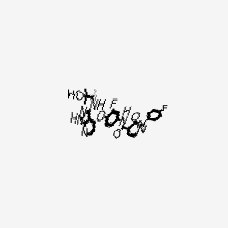 C[C@H](Nc1n[nH]c2nccc(Oc3ccc(NC(=O)c4ccnn(-c5ccc(F)cc5)c4=O)cc3F)c12)C(C)(C)O